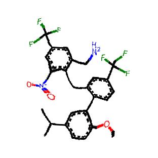 COc1ccc(C(C)C)cc1-c1ccc(C(F)(F)F)cc1Cc1c(CN)cc(C(F)(F)F)cc1[N+](=O)[O-]